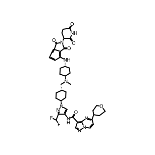 CN(C[C@H]1CC[C@H](n2cc(NC(=O)c3cnn4ccc(C5CCOCC5)nc34)c(C(F)F)n2)CC1)[C@H]1CC[C@H](Nc2cccc3c2C(=O)N(C2CCC(=O)NC2=O)C3=O)CC1